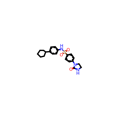 O=C1NCCN1c1ccc(S(=O)(=O)Nc2ccc(C3CCCCC3)cc2)cc1